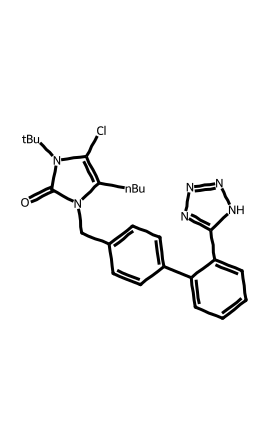 CCCCc1c(Cl)n(C(C)(C)C)c(=O)n1Cc1ccc(-c2ccccc2-c2nnn[nH]2)cc1